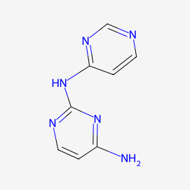 Nc1ccnc(Nc2ccncn2)n1